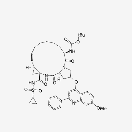 COc1ccc2c(O[C@@H]3C[C@H]4C(=O)N[C@]5(C(=O)NS(=O)(=O)C6CC6)C[C@H]5/C=C\CCCCC[C@@H](NC(=O)OC(C)(C)C)C(=O)N4C3)cc(-c3ccccc3)nc2c1